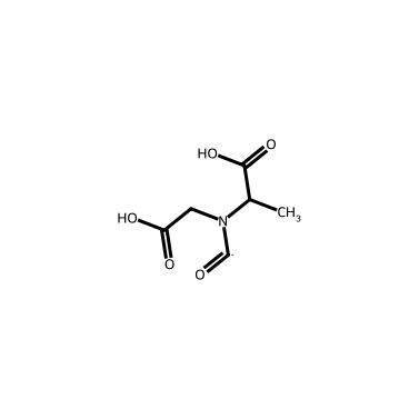 CC(C(=O)O)N([C]=O)CC(=O)O